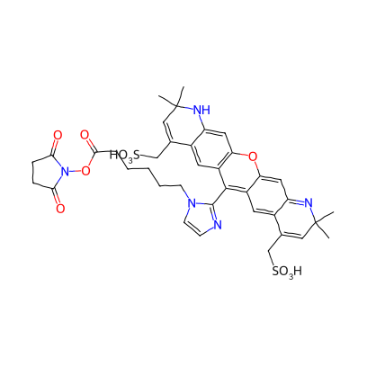 CC1(C)C=C(CS(=O)(=O)O)c2cc3c(cc2=N1)Oc1cc2c(cc1C=3c1nccn1CCCCCC(=O)ON1C(=O)CCC1=O)C(CS(=O)(=O)O)=CC(C)(C)N2